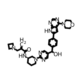 C=C(CN1CCC1)C(=O)N[C@@H]1CCCN(c2ncc(C(O)c3ccc(-c4cc5c(N6CCOCC6)ncnc5[nH]4)cc3)cn2)C1